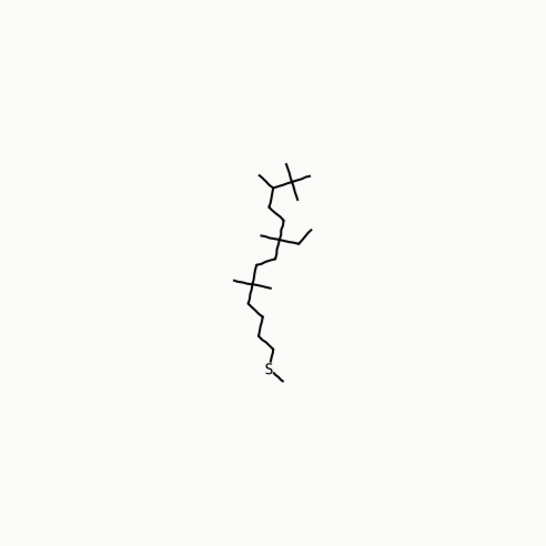 CCC(C)(CCC(C)C(C)(C)C)CCC(C)(C)CCCCSC